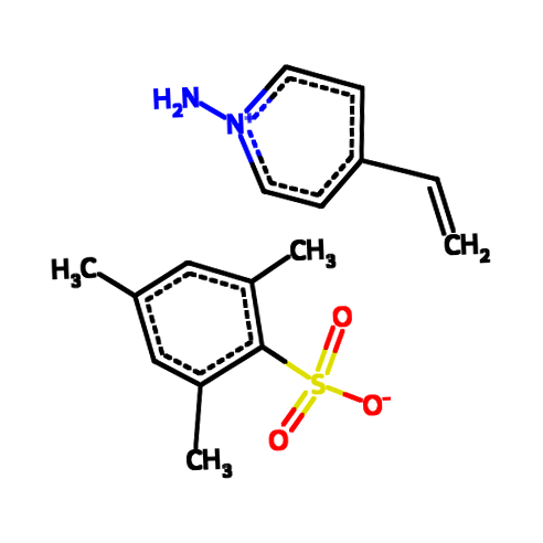 C=Cc1cc[n+](N)cc1.Cc1cc(C)c(S(=O)(=O)[O-])c(C)c1